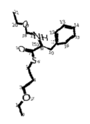 CCOCCCSC(=O)[C@H](Cc1ccccc1)NCOCC